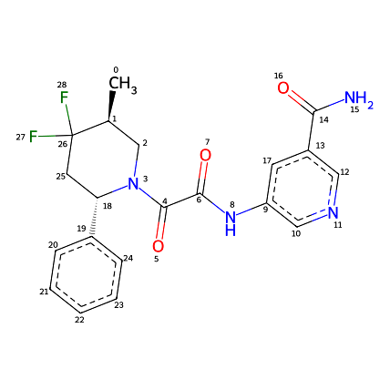 C[C@H]1CN(C(=O)C(=O)Nc2cncc(C(N)=O)c2)[C@H](c2ccccc2)CC1(F)F